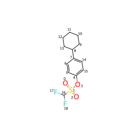 O=S(=O)(Oc1ccc(C2CCCCC2)cc1)C(F)F